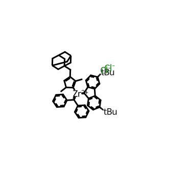 CC1=[C]([Zr+2](=[C](c2ccccc2)c2ccccc2)[CH]2c3ccc(C(C)(C)C)cc3-c3cc(C(C)(C)C)ccc32)C(C)C=C1CC12CC3CC(CC(C3)C1)C2.[Cl-].[Cl-]